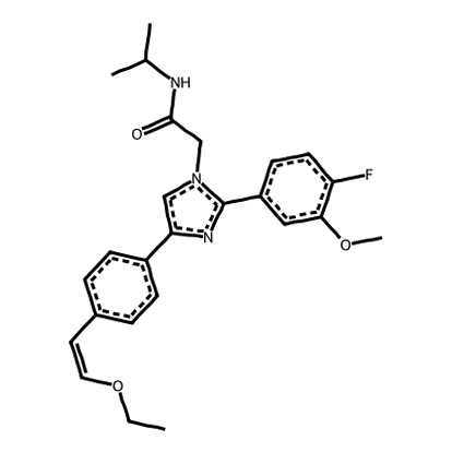 CCO/C=C\c1ccc(-c2cn(CC(=O)NC(C)C)c(-c3ccc(F)c(OC)c3)n2)cc1